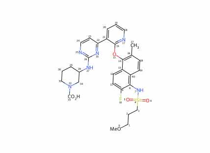 COCCCS(=O)(=O)Nc1c(F)ccc2c(Oc3ncccc3-c3ccnc(NC4CCCN(C(=O)O)C4)n3)c(C)ccc12